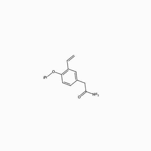 C=Cc1cc(CC(N)=O)ccc1OC(C)C